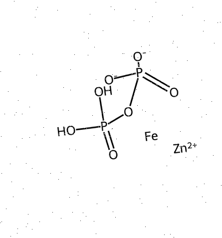 O=P([O-])([O-])OP(=O)(O)O.[Fe].[Zn+2]